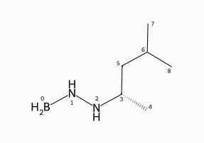 BNN[C@@H](C)CC(C)C